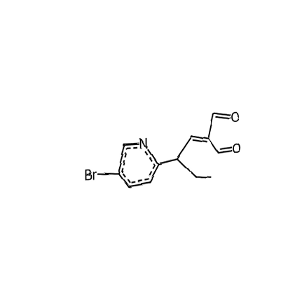 CCC(C=C(C=O)C=O)c1ccc(Br)cn1